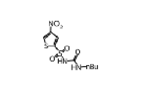 CCCCNC(=O)NS(=O)(=O)c1cc([N+](=O)[O-])cs1